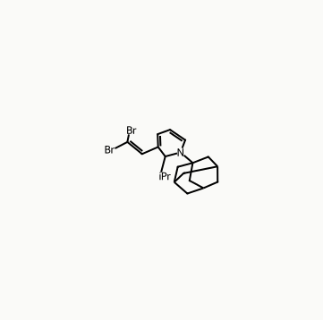 CC(C)C1C(C=C(Br)Br)=CC=CN1C12CC3CC(CC(C3)C1)C2